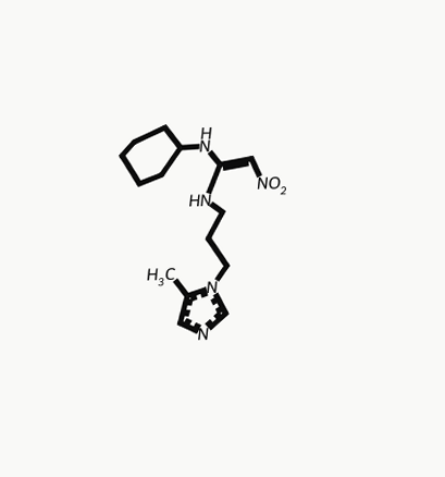 Cc1cncn1CCCNC(=C[N+](=O)[O-])NC1CCCCC1